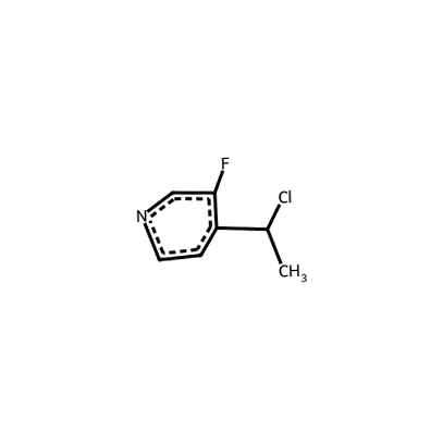 CC(Cl)c1ccncc1F